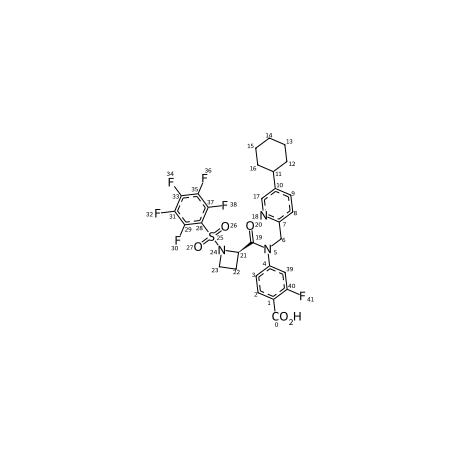 O=C(O)c1ccc(N(Cc2ccc(C3CCCCC3)cn2)C(=O)[C@H]2CCN2S(=O)(=O)c2c(F)c(F)c(F)c(F)c2F)cc1F